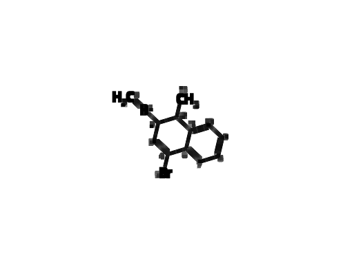 C=BC1C=C(Br)c2ccccc2C1C